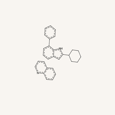 c1ccc(-c2cccc3cc(C4CCCCC4)[nH]c23)cc1.c1ccc2ncccc2c1